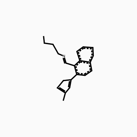 CCCC/N=C/c1c(C2=CC(C)=CC2)ccc2ccccc12